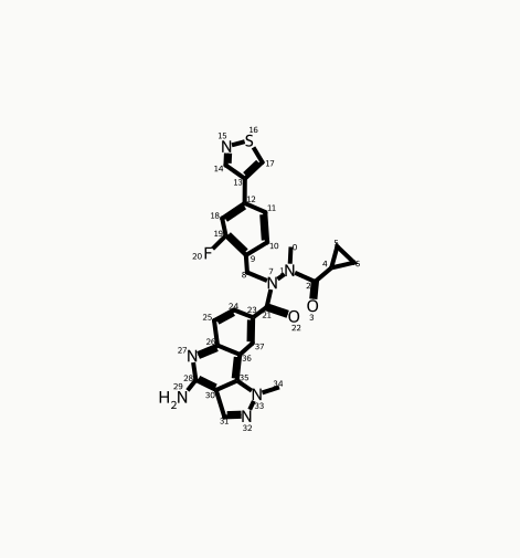 CN(C(=O)C1CC1)N(Cc1ccc(-c2cnsc2)cc1F)C(=O)c1ccc2nc(N)c3cnn(C)c3c2c1